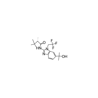 C[C@H](C(=O)Nc1nc2ccc(C(C)(C)O)cc2n1CC(F)(F)F)C(C)(C)C